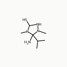 CC(C)C1(N)N(C)NC(S)N1C